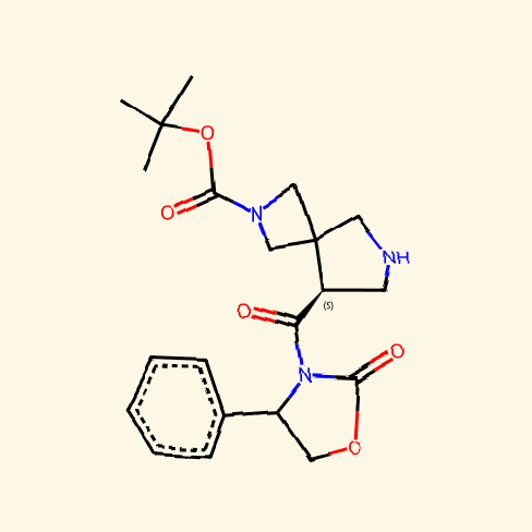 CC(C)(C)OC(=O)N1CC2(CNC[C@H]2C(=O)N2C(=O)OCC2c2ccccc2)C1